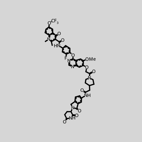 COc1cc2c(Oc3ccc(NC(=O)c4c(C)n(C)c5ccc(OC(F)(F)F)cc5c4=O)cc3F)ncnc2cc1OCC(=O)N1CCC(CC(=O)Nc2ccc3c(c2)C(=O)N(C2CCC(=O)NC2=O)C3)CC1